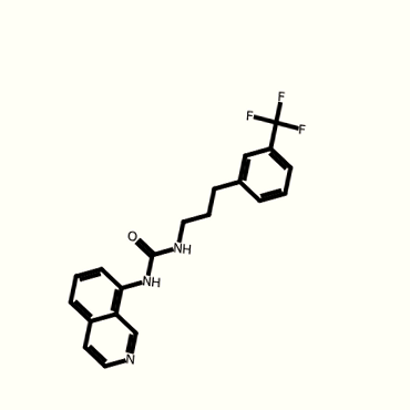 O=C(NCCCc1cccc(C(F)(F)F)c1)Nc1cccc2ccncc12